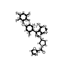 Nc1ncnc2c1c(-c1ccc(Oc3c(F)c(F)cc(F)c3F)cc1F)nn2C1CCN(C(=O)c2ncco2)C1